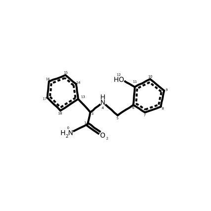 NC(=O)C(NCc1ccccc1O)c1ccccc1